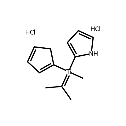 C[C](C)=[Ti]([CH3])([C]1=CC=CC1)[c]1ccc[nH]1.Cl.Cl